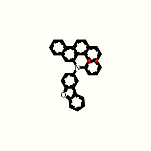 c1ccc(N(c2ccc3oc4ccccc4c3c2)c2cc3ccccc3c3ccc4ccccc4c23)cc1